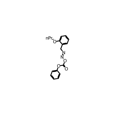 CCCOc1ccccc1CN=NOC(=O)Oc1ccccc1